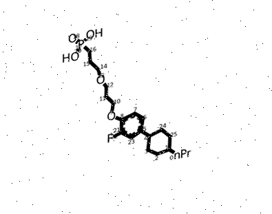 CCCC1CCC(c2ccc(OCCCOCCCP(=O)(O)O)c(F)c2)CC1